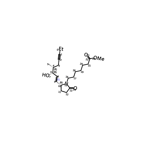 CCC#CC[C@@H](C)[C@@H](O)/C=C/[C@H]1CCC(=O)N1CCCCCCC(=O)OC